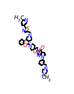 Cc1ccc(-c2ncc(CN3CC[C@@H](C(=O)N4CCC(O)(Cn5cnc6c(ccn6-c6cccc(CN7CCN(C)CC7)c6)c5=O)CC4)[C@H](c4ccccc4)C3)s2)cn1